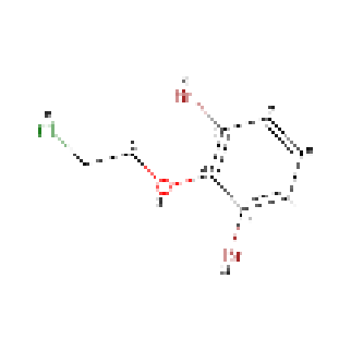 ClCCOc1c(Br)cccc1Br